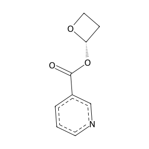 O=C(O[C@H]1CCO1)c1cccnc1